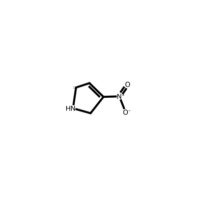 O=[N+]([O-])C1=C[C]NC1